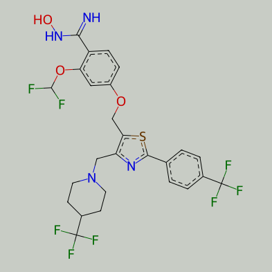 N=C(NO)c1ccc(OCc2sc(-c3ccc(C(F)(F)F)cc3)nc2CN2CCC(C(F)(F)F)CC2)cc1OC(F)F